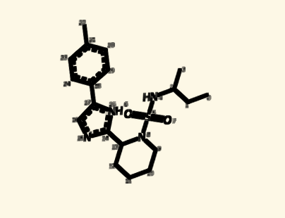 CCC(C)NS(=O)(=O)N1CCCCC1c1ncc(-c2ccc(C)cc2)[nH]1